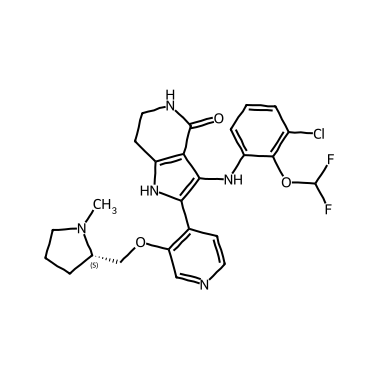 CN1CCC[C@H]1COc1cnccc1-c1[nH]c2c(c1Nc1cccc(Cl)c1OC(F)F)C(=O)NCC2